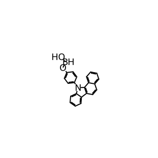 OBOc1ccc(-n2c3ccccc3c3ccc4ccccc4c32)cc1